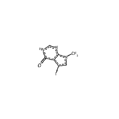 O=c1[nH]cnc2c1c(I)cn2C(F)(F)F